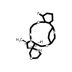 C[C@@H]1C[C@@]2(COCCN2)[C@@H]2COC3CCC(CC3)C3CCCC(F)C3OCCCN12